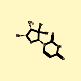 CC[C@H]1O[C@@H](n2ccc(=O)[nH]c2=O)C(Br)(Br)[C@H]1C